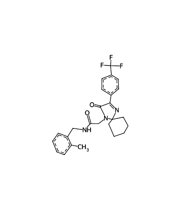 Cc1ccccc1CNC(=O)CN1C(=O)C(c2ccc(C(F)(F)F)cc2)=NC12CCCCC2